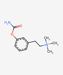 C[N+](C)(C)CCc1cccc(OC(N)=O)c1